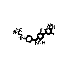 Cc1cc(-c2cc3[nH]nc(C4CCC(NCCS(C)(=O)=O)CC4)c3cc2C(C)C)cn2ncnc12